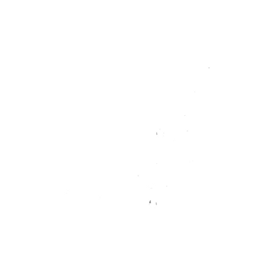 [CH2]CCCCCC(=O)c1cccc(C(=O)CCCCC[CH2])c1